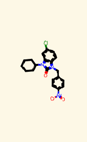 O=c1n(Cc2ccc([N+](=O)[O-])cc2)c2ccc(Cl)cc2n1C1CCCCC1